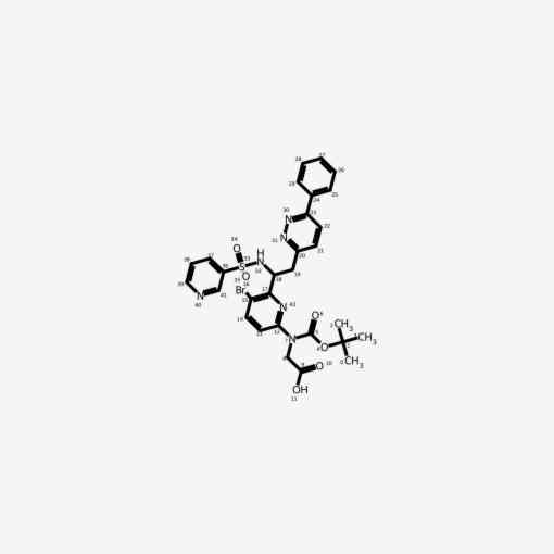 CC(C)(C)OC(=O)N(CC(=O)O)c1ccc(Br)c(C(Cc2ccc(-c3ccccc3)nn2)NS(=O)(=O)c2cccnc2)n1